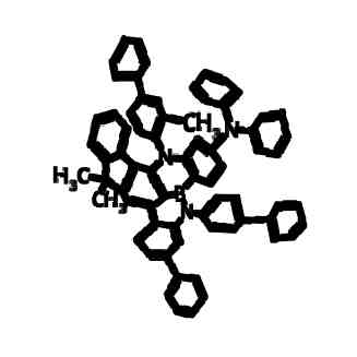 Cc1cc(-c2ccccc2)ccc1N1c2cc(N(c3ccccc3)c3ccccc3)ccc2B2c3c(cc4c(c31)-c1ccccc1C4(C)C)-c1ccc(-c3ccccc3)cc1N2c1ccc(-c2ccccc2)cc1